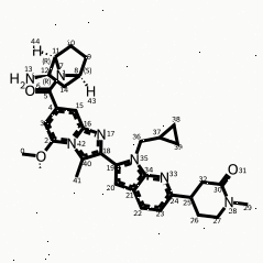 COc1cc(C(=O)N2[C@H]3CC[C@@H]2[C@H](N)C3)cc2nc(-c3cc4ccc(C5CCN(C)C(=O)C5)nc4n3CC3CC3)c(C)n12